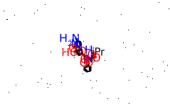 CC(C)OC(=O)[C@H](C)NP(=O)(OCC1=C[C@@H](O)[C@H](n2ccc(N)nc2=O)O1)Oc1ccccc1